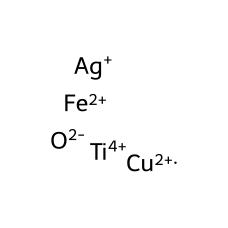 [Ag+].[Cu+2].[Fe+2].[O-2].[Ti+4]